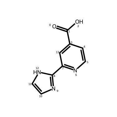 O=C(O)c1ccnc(-c2ncc[nH]2)c1